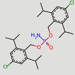 CC(C)c1cc(Cl)cc(C(C)C)c1COP(N)(=O)OCc1c(C(C)C)cc(Cl)cc1C(C)C